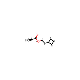 C#CC(=O)OCCC1CCC1